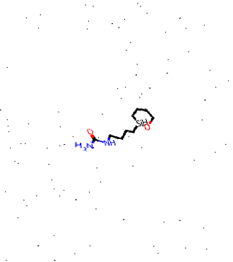 NC(=O)NCCCC[SiH]1CCCCO1